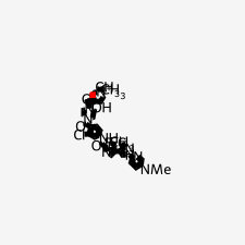 CNc1ccc(-n2cc(-c3cnc(C(=O)Nc4ccc(C(=O)N5CCN(C(=O)C6(O)CC[N+](C)(C)CC6)CC5)c(Cl)c4)n3C)c(C(F)(F)F)n2)nc1